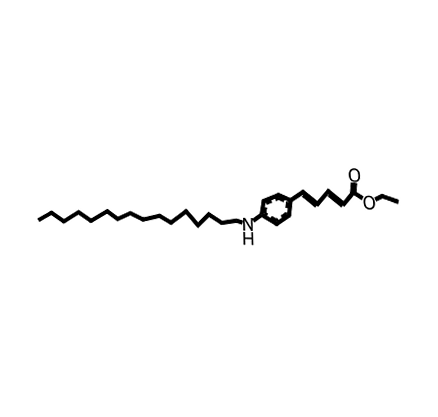 CCCCCCCCCCCCCCCCNc1ccc(/C=C/C=C/C(=O)OCC)cc1